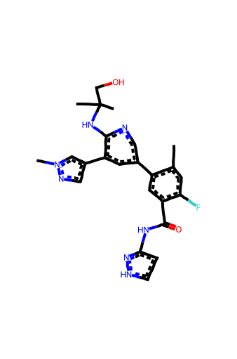 Cc1cc(F)c(C(=O)Nc2cc[nH]n2)cc1-c1cnc(NC(C)(C)CO)c(-c2cnn(C)c2)c1